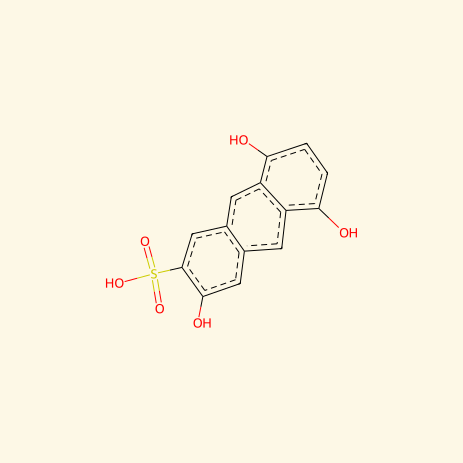 O=S(=O)(O)c1cc2cc3c(O)ccc(O)c3cc2cc1O